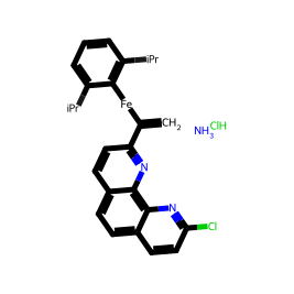 C=[C]([Fe][c]1c(C(C)C)cccc1C(C)C)c1ccc2ccc3ccc(Cl)nc3c2n1.Cl.N